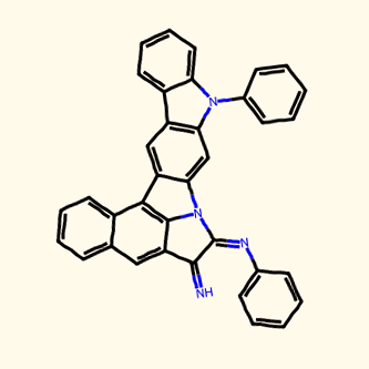 N=C1/C(=N\c2ccccc2)n2c3cc4c(cc3c3c5ccccc5cc1c32)c1ccccc1n4-c1ccccc1